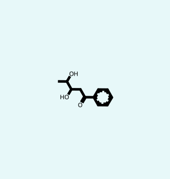 CC(O)C(O)CC(=O)c1ccccc1